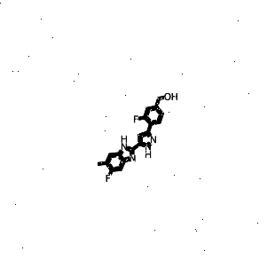 Cc1cc2[nH]c(-c3cc(-c4ccc(CO)cc4F)n[nH]3)nc2cc1F